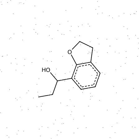 CCC(O)c1cccc2c1OCC2